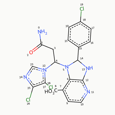 NC(=O)CC(N1c2c(C(=O)O)ccnc2NC1c1ccc(Cl)cc1)n1cnc(Cl)c1Cl